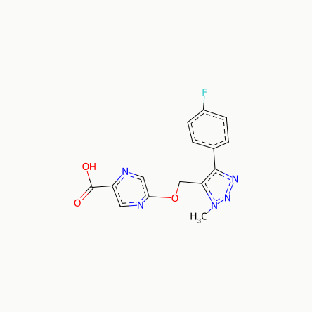 Cn1nnc(-c2ccc(F)cc2)c1COc1cnc(C(=O)O)cn1